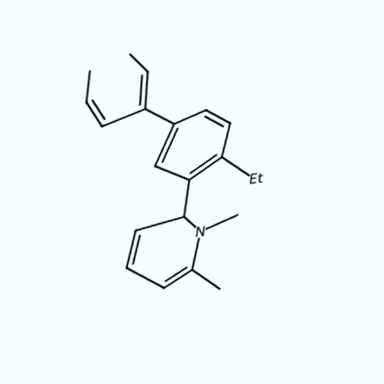 C/C=C\C(=C/C)c1ccc(CC)c(C2C=CC=C(C)N2C)c1